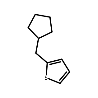 [CH](c1cccs1)C1CCCC1